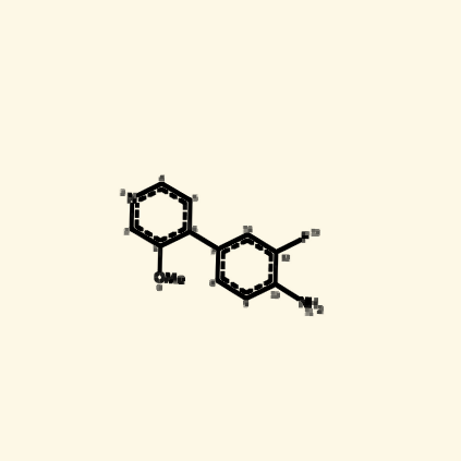 COc1cnccc1-c1ccc(N)c(F)c1